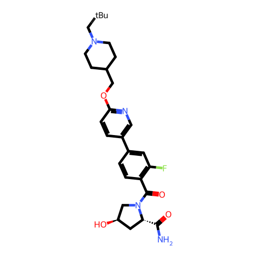 CC(C)(C)CN1CCC(COc2ccc(-c3ccc(C(=O)N4C[C@H](O)C[C@H]4C(N)=O)c(F)c3)cn2)CC1